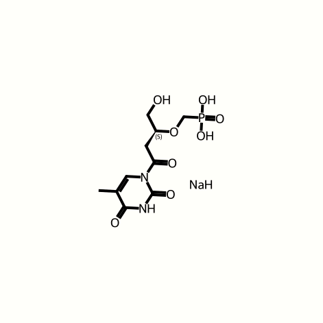 Cc1cn(C(=O)C[C@@H](CO)OCP(=O)(O)O)c(=O)[nH]c1=O.[NaH]